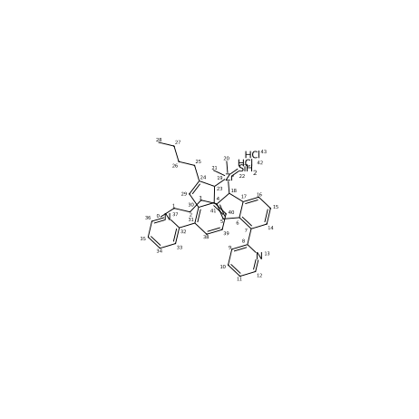 CCCCC1=Cc2c(-c3ccccn3)cccc2[CH]1[Zr]([CH3])([CH3])(=[SiH2])[CH]1C(CCCC)=Cc2c(-c3ccccn3)cccc21.Cl.Cl